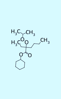 CCCCC(CC)(OOC(C)C)C(=O)OC1CCCCC1